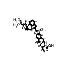 CON(C)C(=O)C(F)Oc1cccc2cc(-c3nc4cc5c(nc4n3C)CCN(C[C@@H](CF)NC(=O)O)C5=O)n(CC3CC3)c12